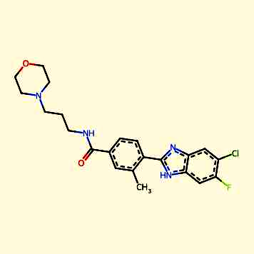 Cc1cc(C(=O)NCCCN2CCOCC2)ccc1-c1nc2cc(Cl)c(F)cc2[nH]1